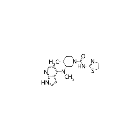 C[C@@H]1CCN(C(=O)NC2=NCCS2)C[C@@H]1N(C)c1ccnc2[nH]ccc12